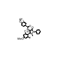 COc1cc(F)c(-c2c(NC(=O)c3ccc(OC(F)(F)F)cc3)c(=O)n(-c3ccccc3)n2C)c(F)c1